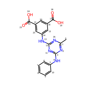 Cc1nc(Nc2ccccc2)nc(Nc2cc(C(=O)O)cc(C(=O)O)c2)n1